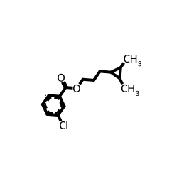 CC1C(C)C1CCCOC(=O)c1[c]ccc(Cl)c1